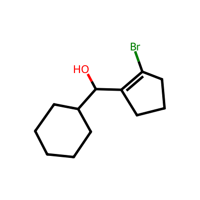 OC(C1=C(Br)CCC1)C1CCCCC1